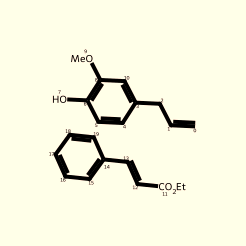 C=CCc1ccc(O)c(OC)c1.CCOC(=O)C=Cc1ccccc1